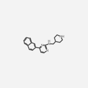 c1ccc2cc(-c3ccnc(NCC4CCNCC4)n3)ccc2c1